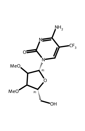 COC1C(OC)[C@@H](CO)O[C@H]1n1cc(C(F)(F)F)c(N)nc1=O